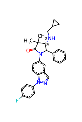 CC1(C)C(=O)N(c2ccc3c(cnn3-c3ccc(F)cc3)c2)C(c2ccccc2)[C@H]1NCC1CC1